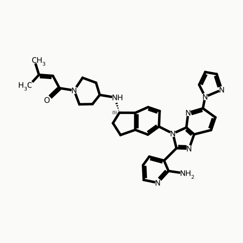 CC(C)=CC(=O)N1CCC(N[C@H]2CCc3cc(-n4c(-c5cccnc5N)nc5ccc(-n6cccn6)nc54)ccc32)CC1